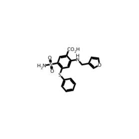 NS(=O)(=O)c1cc(C(=O)O)c(NCc2ccoc2)cc1Sc1ccccc1